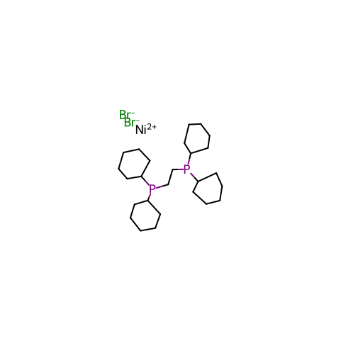 C1CCC(P(CCP(C2CCCCC2)C2CCCCC2)C2CCCCC2)CC1.[Br-].[Br-].[Ni+2]